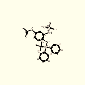 CC(=O)Oc1ccc(O[Si](c2ccccc2)(c2ccccc2)C(C)(C)C)c(NS(C)(=O)=O)c1